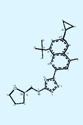 Cc1cc(-c2nnc(NC[C@H]3CCCO3)o2)nc2c(C(C)(C)C)cc(C3CC3)cc12